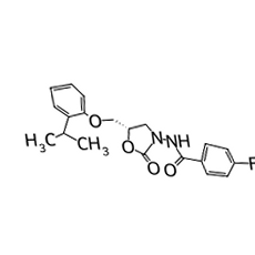 CC(C)c1ccccc1OC[C@@H]1CN(NC(=O)c2ccc(F)cc2)C(=O)O1